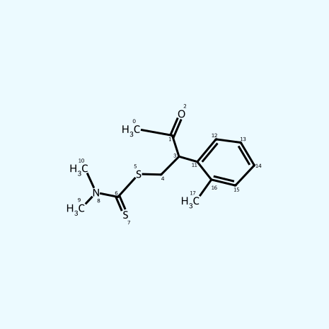 CC(=O)C(CSC(=S)N(C)C)c1ccccc1C